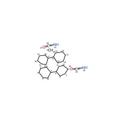 C.C1CCC(C2CCCCC2)CC1.C1CCC(C2CCCCC2)CC1.N=C=O.N=C=O